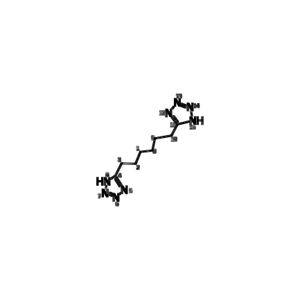 C(CCCc1nnn[nH]1)CCc1nnn[nH]1